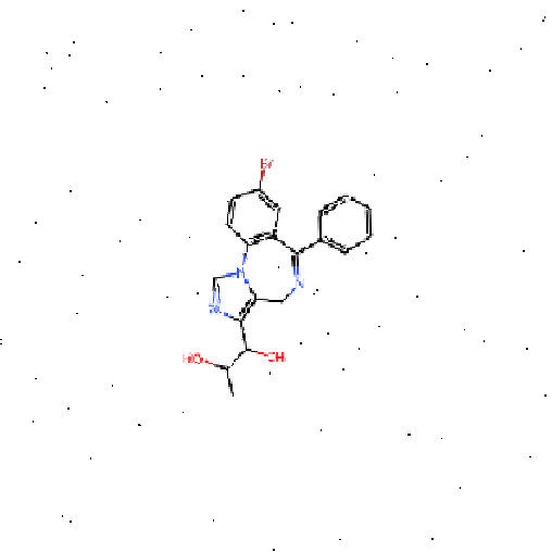 CC(O)C(O)c1ncn2c1CN=C(c1ccccc1)c1cc(Br)ccc1-2